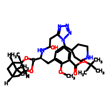 COc1c(C[C@H](NC(O)Cc2nnnn2CC2CCNCC2)B2O[C@@H]3C[C@@H]4C[C@@H](C4(C)C)[C@]3(C)O2)cccc1C(=O)OC(C)(C)C